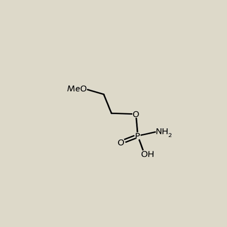 COCCOP(N)(=O)O